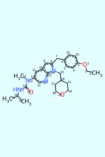 CCOc1ccc(Cc2cc3cc(N(C)C(=O)NC(C)C)cnc3n2CC2CCOCC2)cc1